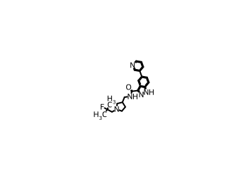 CC(C)(F)CN1CCC(CNC(=O)c2n[nH]c3ccc(-c4cccnc4)cc23)C1